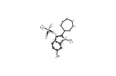 CC(C)c1ccc2cc(C3CCCCCC3)[s+](C(F)(F)F)c2c1.O=S(=O)([O-])C(F)(F)F